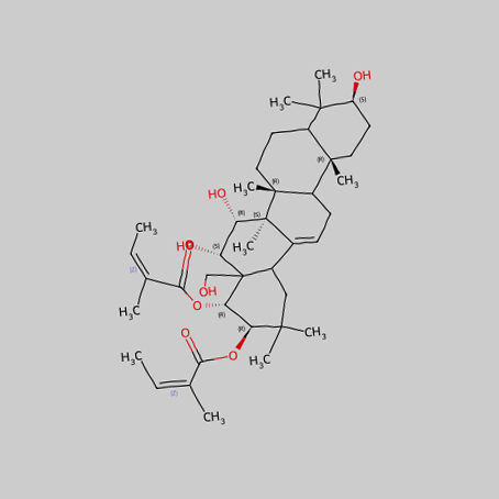 C/C=C(/C)C(=O)O[C@H]1[C@H](OC(=O)/C(C)=C\C)C2(CO)C(CC1(C)C)C1=CCC3[C@@]4(C)CC[C@H](O)C(C)(C)C4CC[C@@]3(C)[C@]1(C)[C@@H](O)[C@H]2O